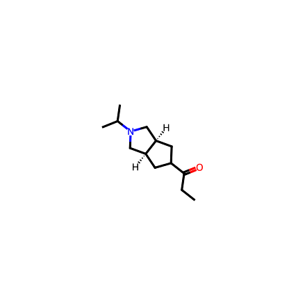 CCC(=O)C1C[C@@H]2CN(C(C)C)C[C@@H]2C1